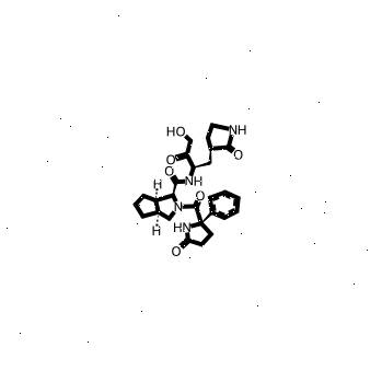 O=C1CC[C@](C(=O)N2C[C@H]3CCC[C@H]3[C@H]2C(=O)N[C@H](C[C@H]2CCNC2=O)C(=O)CO)(c2ccccc2)N1